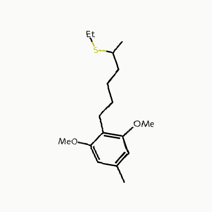 CCSC(C)CCCCc1c(OC)cc(C)cc1OC